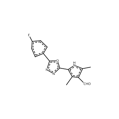 Cc1[nH]c(-c2nnc(-c3ccc(F)cc3)o2)c(C)c1C=O